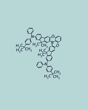 CC(C)(C)c1ccc(N(c2ccccc2)c2ccc3c(c2)C(C)(C)c2cc4c(cc2-3)Oc2cccc3c2B4c2cc4c(cc2O3)-c2ccc(N(c3ccccc3)c3ccc(C(C)(C)C)cc3)cc2C4(C)C)cc1